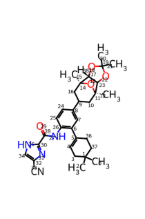 CC1(C)CC=C(c2cc(C3C[C@@]4(C)O[C@@](C)(C3)[C@@H]3OC(C)(C)OC34)ccc2NC(=O)c2nc(C#N)c[nH]2)CC1